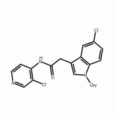 O=C(Cc1cn(O)c2ccc(Cl)cc12)Nc1ccncc1Cl